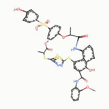 COC(=O)C(C)Sc1nnc(Sc2cc(C(=O)Nc3ccccc3OC)c(O)c3cccc(NC(=O)C(C)Oc4ccc(S(=O)(=O)c5ccc(O)cc5)cc4)c23)s1